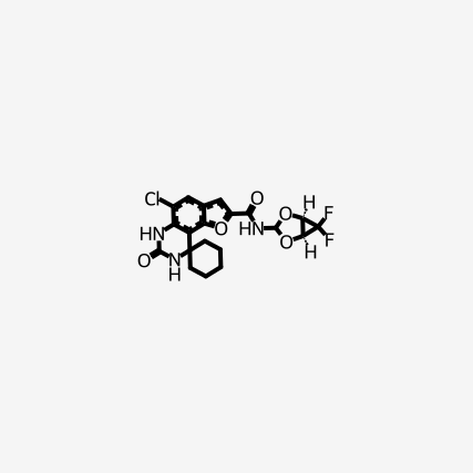 O=C1Nc2c(Cl)cc3cc(C(=O)NC4O[C@@H]5[C@H](O4)C5(F)F)oc3c2C2(CCCCC2)N1